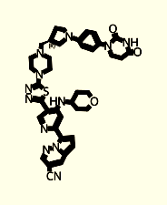 N#Cc1cnn2c(-c3cc(NC4CCOCC4)c(-c4nnc(N5CCN(C[C@H]6CCN(c7ccc(N8CCC(=O)NC8=O)cc7)C6)CC5)s4)cn3)ccc2c1